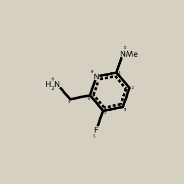 CNc1ccc(F)c(CN)n1